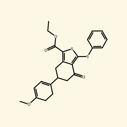 CCOC(=O)c1sc(Sc2ccccc2)c2c1CC(C1=CC=C(OC)CC1)CC2=O